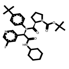 CC(C)(C)OC(=O)N1CCC[C@@H]1C(=O)N(c1ccc(C(C)(C)C)cc1)[C@@H](C(=O)NC1CCCCC1)c1cncc(F)c1